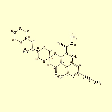 CC#Cc1cc(C)c(C2=C(OC(=O)OC)CC3(CCN(C(O)CN4CCOCC4)CC3)CC2=O)c(C)c1